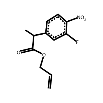 C=CCOC(=O)C(C)c1ccc([N+](=O)[O-])c(F)c1